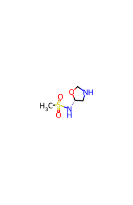 CS(=O)(=O)N[C@H]1CNCO1